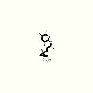 CCOC(=O)[C@]1(C)C[C@]1(C)CC[C@@H](C)O[C@@H]1O[C@@H](C)[C@H](C)C[C@H]1C